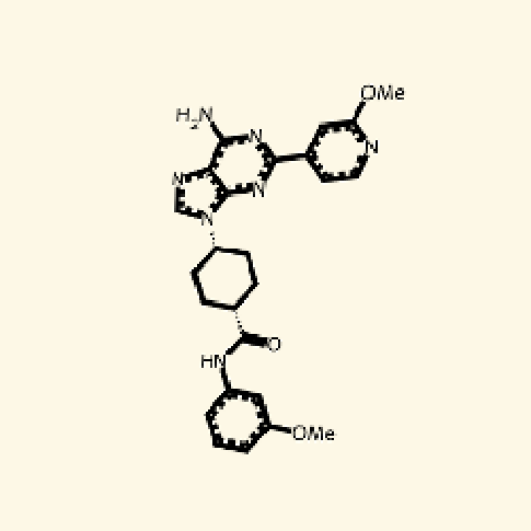 COc1cccc(NC(=O)[C@H]2CC[C@@H](n3cnc4c(N)nc(-c5ccnc(OC)c5)nc43)CC2)c1